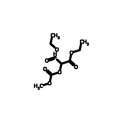 CCOC(=O)C(OC(=O)OC)[PH](=O)OCC